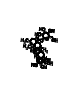 C[C@H]1[C@H](C)CC[C@]2(C(=O)O[C@@H]3O[C@H](CO)[C@@H](O)[C@H](O)[C@H]3O)CC[C@]3(C)C(=CC[C@@H]4[C@@]5(C)C[C@@H](O)[C@H](O)[C@@](C)(CO)[C@@H]5CC[C@]43C)[C@H]12